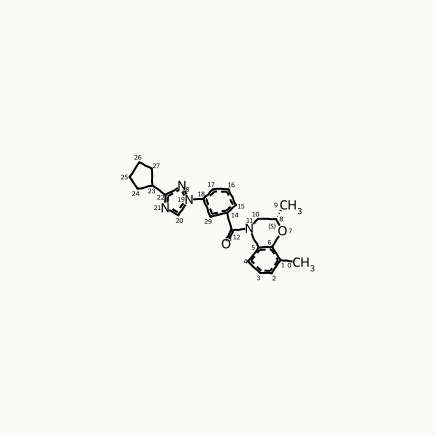 Cc1cccc2c1O[C@@H](C)CN2C(=O)c1cccc(-n2cnc(C3CCCC3)n2)c1